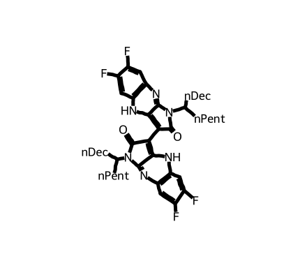 CCCCCCCCCCC(CCCCC)n1c2nc3cc(F)c(F)cc3[nH]c-2c(-c2c3[nH]c4cc(F)c(F)cc4nc-3n(C(CCCCC)CCCCCCCCCC)c2=O)c1=O